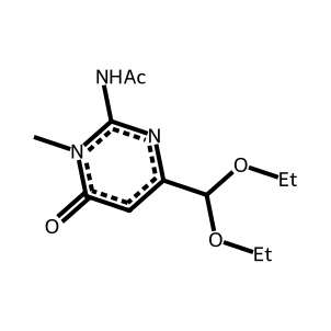 CCOC(OCC)c1cc(=O)n(C)c(NC(C)=O)n1